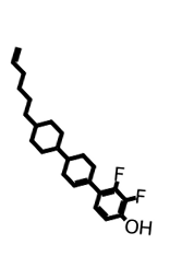 C=CCCCCC1CCC(C2CC=C(c3ccc(O)c(F)c3F)CC2)CC1